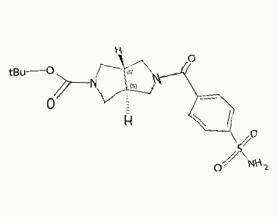 CC(C)(C)OC(=O)N1C[C@@H]2CN(C(=O)c3ccc(S(N)(=O)=O)cc3)C[C@H]2C1